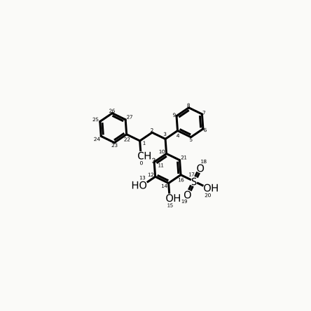 CC(CC(c1ccccc1)c1cc(O)c(O)c(S(=O)(=O)O)c1)c1ccccc1